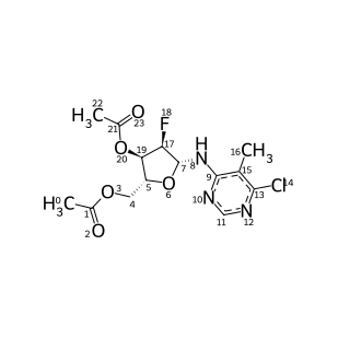 CC(=O)OC[C@H]1O[C@@H](Nc2ncnc(Cl)c2C)[C@H](F)[C@@H]1OC(C)=O